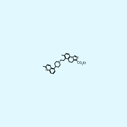 CCOC(=O)c1ncn2c1CCc1c-2ccc(C)c1CCN1CCC(c2cccc3nc(C)ccc23)CC1